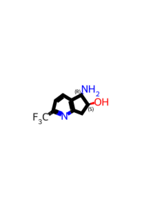 N[C@@H]1c2ccc(C(F)(F)F)nc2C[C@@H]1O